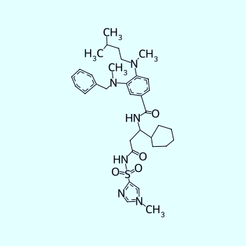 CC(C)CCN(C)c1ccc(C(=O)NC(CC(=O)NS(=O)(=O)c2cn(C)cn2)C2CCCCC2)cc1N(C)Cc1ccccc1